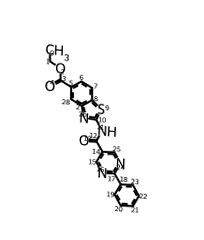 CCOC(=O)c1ccc2sc(NC(=O)c3cnc(-c4ccccc4)nc3)nc2c1